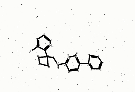 Fc1cccnc1C1(CNc2ccc(-c3ccccc3)nn2)CCC1